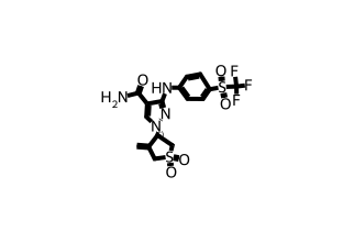 C=C1CS(=O)(=O)C[C@H]1n1cc(C(N)=O)c(Nc2ccc(S(=O)(=O)C(F)(F)F)cc2)n1